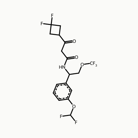 O=C(CC(=O)C1CC(F)(F)C1)NC(COC(F)(F)F)c1cccc(OC(F)F)c1